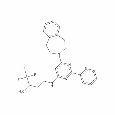 CC(CCNc1cc(N2CCc3ccccc3CC2)nc(-c2ccccn2)n1)C(F)(F)F